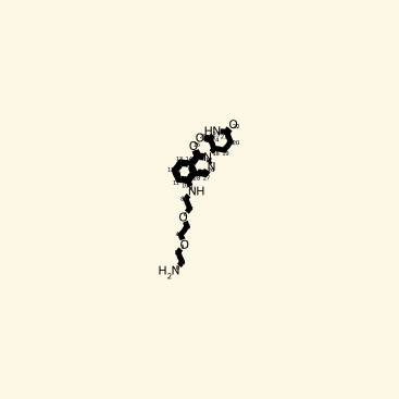 NCCOCCOCCNc1cccc2c(=O)n(C3CCC(=O)NC3=O)ncc12